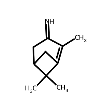 CC1=C2CC(CC1=N)C2(C)C